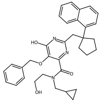 O=C(c1nc(CC2(c3cccc4ccccc34)CCCC2)nc(O)c1OCc1ccccc1)N(CCO)CC1CC1